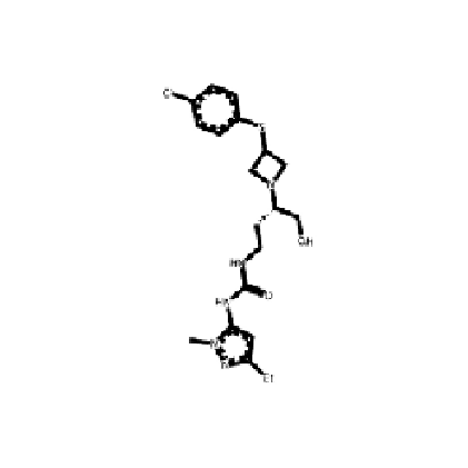 CCc1cc(NC(=O)NCC[C@@H](CO)N2CC(Sc3ccc(Cl)cc3)C2)n(C)n1